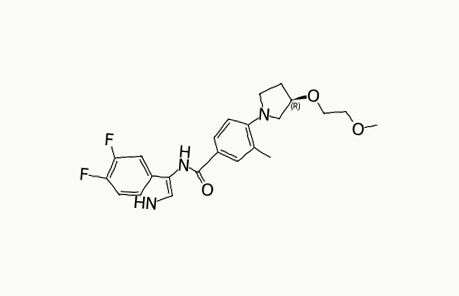 COCCO[C@@H]1CCN(c2ccc(C(=O)Nc3c[nH]c4cc(F)c(F)cc34)cc2C)C1